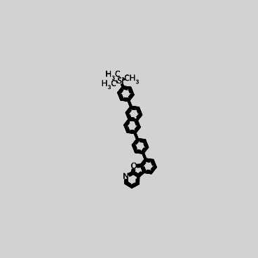 C[Si](C)(C)c1ccc(-c2ccc3cc(-c4ccc(-c5cccc6c5oc5ncccc56)cc4)ccc3c2)cc1